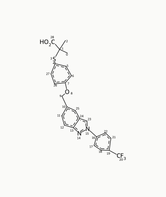 CC(C)(Sc1ccc(OCc2ccc3nn(-c4ccc(C(F)(F)F)cc4)cc3c2)cc1)C(=O)O